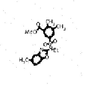 CCN(c1nc2cc(C)ccc2o1)S(=O)(=O)c1cc(C)c(C)c(C(=O)OC)c1